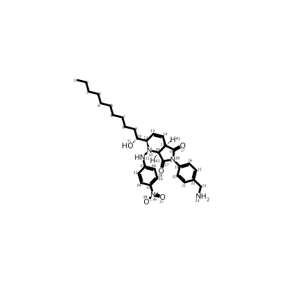 CCCCCCCCCC[C@@H](O)[C@H]1C=C[C@H]2C(=O)N(c3ccc(CN)cc3)C(=O)[C@H]2N1Nc1ccc([N+](=O)[O-])cc1